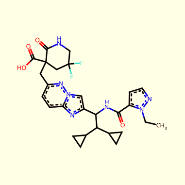 CCn1nccc1C(=O)NC(c1cn2nc(CC3(C(=O)O)CC(F)(F)CNC3=O)ccc2n1)C(C1CC1)C1CC1